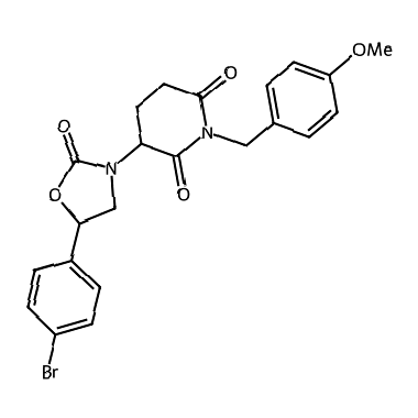 COc1ccc(CN2C(=O)CCC(N3CC(c4ccc(Br)cc4)OC3=O)C2=O)cc1